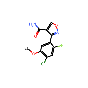 CCOc1cc(-c2nocc2C(N)=O)c(F)cc1Cl